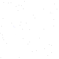 C=C1Oc2ccc(C(C)(C)C)cc2CN1C(C)C